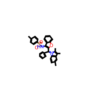 Cc1ccc(S(=O)(=O)Nc2c(C(c3ccccc3)n3c(C)c(C)c4cc(C)ccc43)oc3ccccc23)cc1